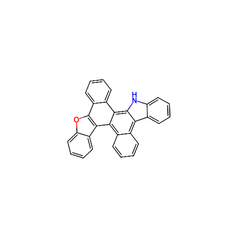 c1ccc2c(c1)[nH]c1c2c2ccccc2c2c1c1ccccc1c1oc3ccccc3c12